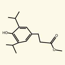 COC(=O)CCc1cc(C(C)C)c(O)c(C(C)C)c1